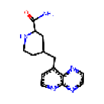 NC(=O)C1CC([CH]c2ccnc3nccnc23)CCN1